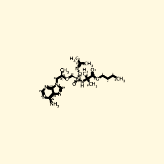 CCCCOC(=O)C(C)(C)N[P@@](=O)(CO[C@H](C)Cn1cnc2c(N)ncnc21)ON=C(C)C